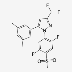 Cc1cc(C)cc(-c2cc(C(F)F)nn2-c2cc(F)c(S(C)(=O)=O)cc2F)c1